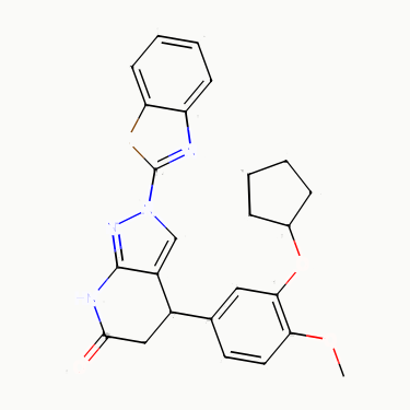 COc1ccc(C2CC(=O)Nc3nn(-c4nc5ccccc5s4)cc32)cc1OC1CCCC1